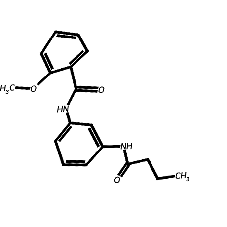 CCCC(=O)Nc1cccc(NC(=O)c2ccccc2OC)c1